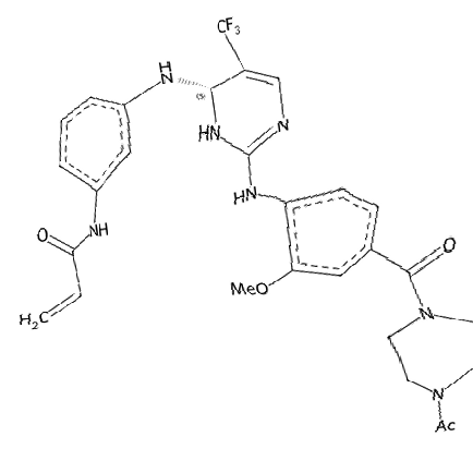 C=CC(=O)Nc1cccc(N[C@H]2NC(Nc3ccc(C(=O)N4CCN(C(C)=O)CC4)cc3OC)=NC=C2C(F)(F)F)c1